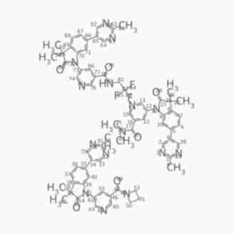 Cc1ncc(-c2ccc3c(c2)N(c2cncc(C(=O)N(C)C)c2)C(=O)C3(C)C)cn1.Cc1ncc(-c2ccc3c(c2)N(c2cncc(C(=O)N4CCC4)c2)C(=O)C3(C)C)cn1.Cc1ncc(-c2ccc3c(c2)N(c2cncc(C(=O)NCC(F)(F)F)c2)C(=O)C3(C)C)cn1